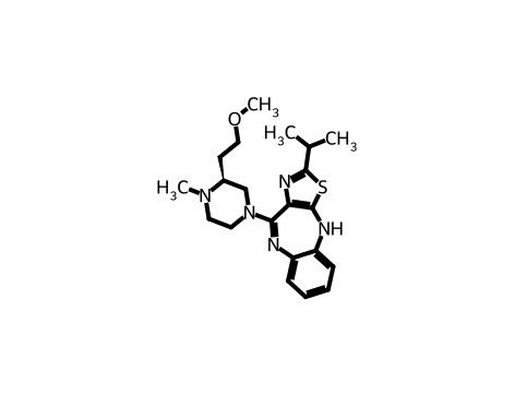 COCC[C@H]1CN(C2=Nc3ccccc3Nc3sc(C(C)C)nc32)CCN1C